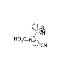 N#Cc1ccc2c(c1)C(C1NS(=O)(=O)c3ccccc31)CN2CC(=O)O